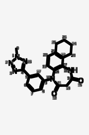 Cn1nnc(-c2cccc(N3C(=O)CC(=O)Nc4c3ccc3c4CCCC3)c2)n1